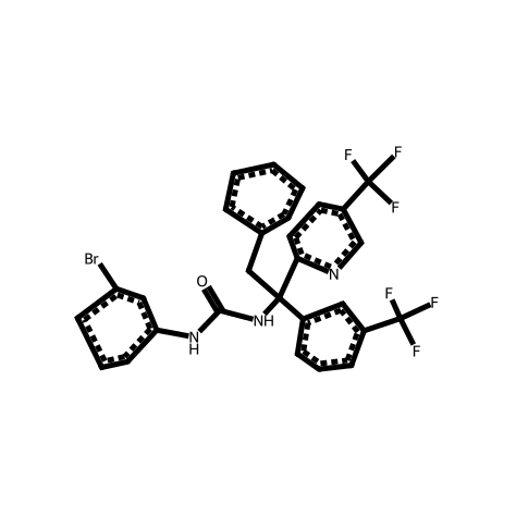 O=C(Nc1cccc(Br)c1)NC(Cc1ccccc1)(c1cccc(C(F)(F)F)c1)c1ccc(C(F)(F)F)cn1